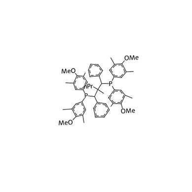 CCCC(C)(C(c1ccccc1)P(c1cc(C)c(OC)c(C)c1)c1cc(C)c(OC)c(C)c1)C(c1ccccc1)P(c1cc(C)c(OC)c(C)c1)c1cc(C)c(OC)c(C)c1